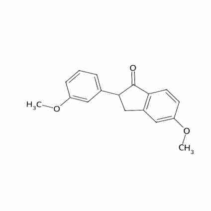 COc1cccc(C2Cc3cc(OC)ccc3C2=O)c1